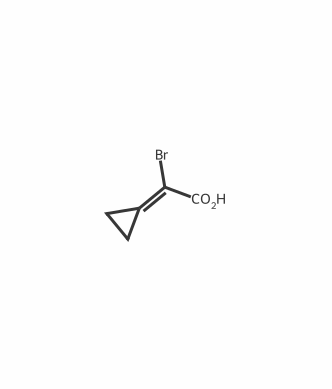 O=C(O)C(Br)=C1CC1